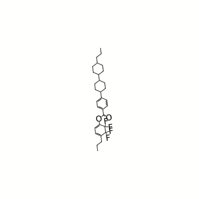 CCCC1=CC=C(OC(=O)c2ccc(C3CCC(C4CCC(CCC)CC4)CC3)cc2)C(F)(F)C1(F)F